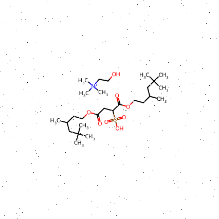 CC(CCOC(=O)CC(C(=O)OCCC(C)CC(C)(C)C)S(=O)(=O)O)CC(C)(C)C.C[N+](C)(C)CCO